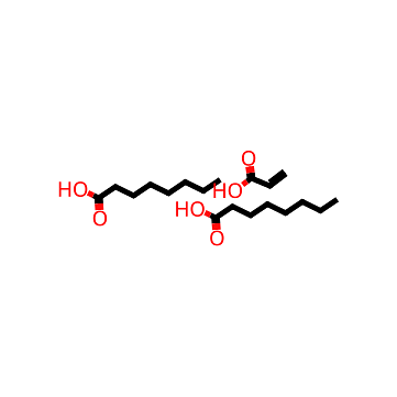 C=CC(=O)O.CCCCCCCC(=O)O.CCCCCCCC(=O)O